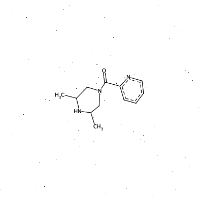 CC1CN(C(=O)c2ccccn2)CC(C)N1